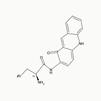 CC(C)C[C@H](N)C(=O)Nc1ccc2[nH]c3ccccc3cc-2c1=O